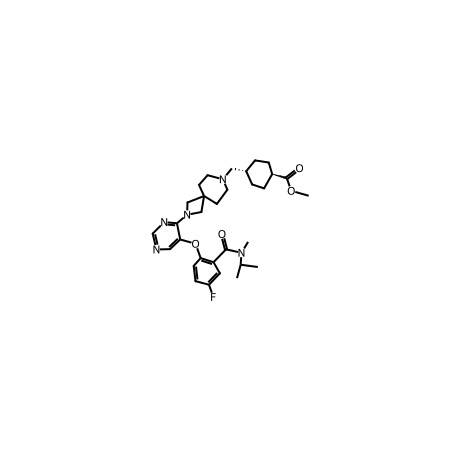 COC(=O)[C@H]1CC[C@H](CN2CCC3(CC2)CN(c2ncncc2Oc2ccc(F)cc2C(=O)N(C)C(C)C)C3)CC1